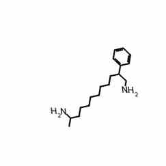 CC(N)CCCCCCCCC(CN)c1ccccc1